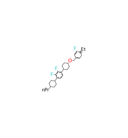 CCCC1CCC(c2ccc(C3CCC(OCC4=CC[C@H](CC)C(F)=C4)CC3)c(F)c2F)CC1